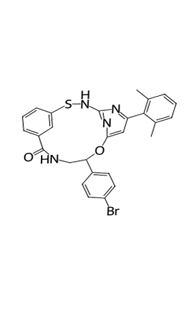 Cc1cccc(C)c1-c1cc2nc(n1)NSc1cccc(c1)C(=O)NCC(c1ccc(Br)cc1)O2